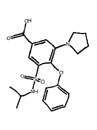 CC(C)NS(=O)(=O)c1cc(C(=O)O)cc(N2CCCC2)c1Oc1ccccc1